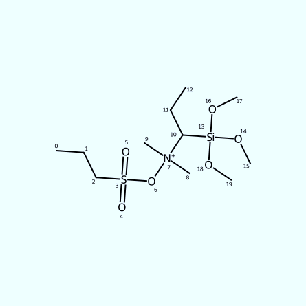 CCCS(=O)(=O)O[N+](C)(C)C(CC)[Si](OC)(OC)OC